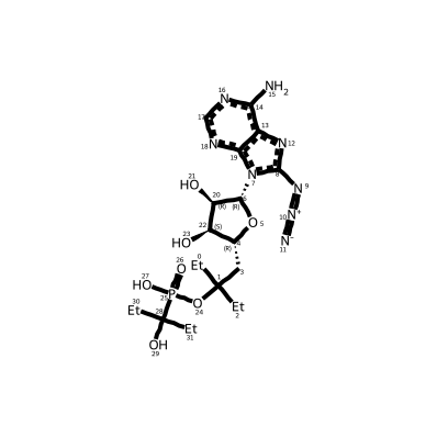 CCC(CC)(C[C@H]1O[C@@H](n2c(N=[N+]=[N-])nc3c(N)ncnc32)[C@H](O)[C@@H]1O)OP(=O)(O)C(O)(CC)CC